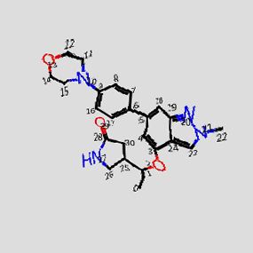 CC(Oc1cc(-c2ccc(N3CCOCC3)cc2)cc2nn(C)cc12)C1CNC(=O)C1